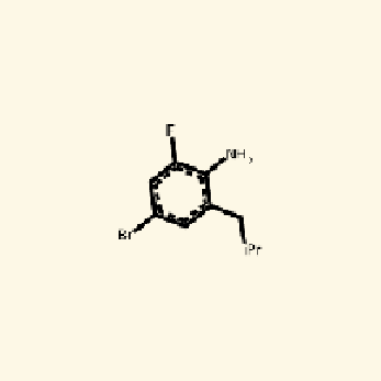 CC(C)Cc1cc(Br)cc(F)c1N